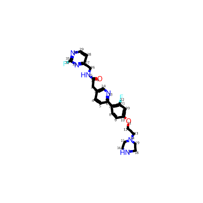 O=C(Cc1ccc(-c2ccc(OCCN3CCNCC3)cc2F)nc1)NCc1ccnc(F)n1